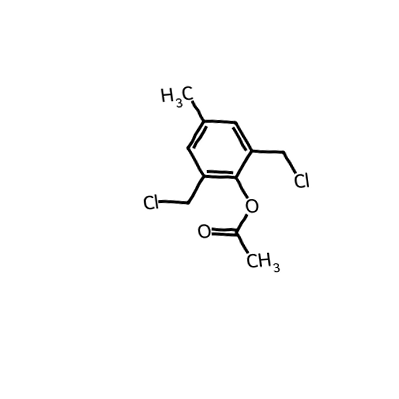 CC(=O)Oc1c(CCl)cc(C)cc1CCl